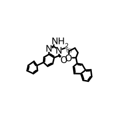 Nc1nc2cc(-c3ccccc3)ccc2c(=O)n1C[C@@H]1CCC(c2ccc3ccccc3c2)O1